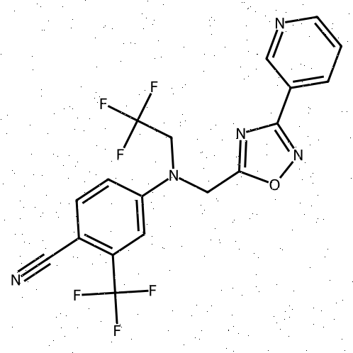 N#Cc1ccc(N(Cc2nc(-c3cccnc3)no2)CC(F)(F)F)cc1C(F)(F)F